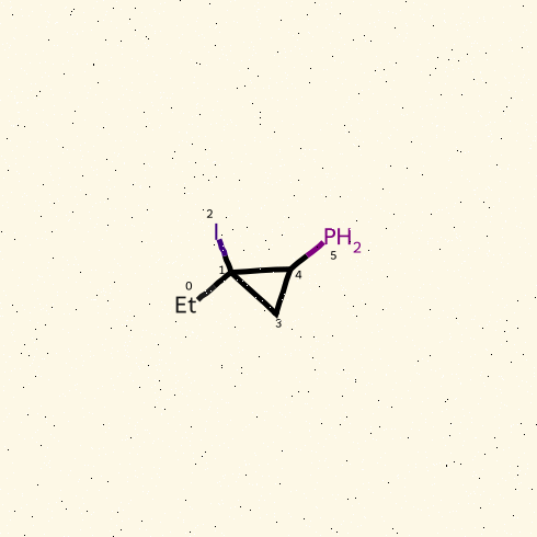 CCC1(I)CC1P